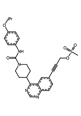 CC(C)Oc1ccc(NC(=O)N2CCC(c3ncnc4ccc(C#CCOS(C)(=O)=O)cc34)CC2)cc1